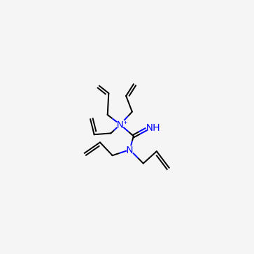 C=CCN(CC=C)C(=N)[N+](CC=C)(CC=C)CC=C